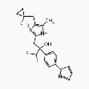 Cc1[nH]c(CC(O)(c2ccc(-n3cccn3)cc2)C(F)F)nc1CC1(C)CC1